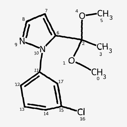 COC(C)(OC)c1[c]cnn1-c1cccc(Cl)c1